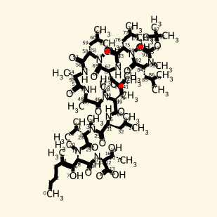 CCCCC(C)=C(O)[C@@H](C(=O)N[C@H](C(=O)O)[C@@H](C)O)N(C)C(=O)[C@H](C(C)C)N(C)C(=O)[C@H](CC(C)C)NC(=O)[C@H](CC(C)C)N(C)C(=O)[C@@H](C)NC(=O)[C@H](C)NC(=O)[C@H](CC(C)C)N(C)C(=O)[C@H](CC(C)C)NC(=O)[C@H](CC(C)C)N(C)C(=O)[C@@H](CC(C)C)N(C)C(=O)OC(C)(C)C